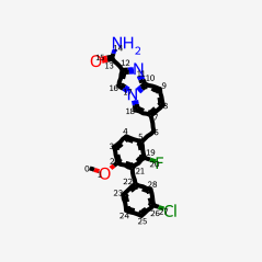 COc1ccc(Cc2ccc3nc(C(N)=O)cn3c2)c(F)c1-c1cccc(Cl)c1